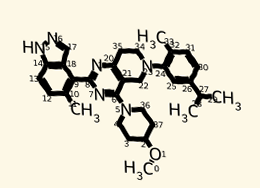 COC1CCN(c2nc(-c3c(C)ccc4[nH]ncc34)nc3c2CN(c2cc(C(C)C)ccc2C)CC3)CC1